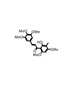 COc1cc(OC)c(C(=O)C=Cc2cc(OC)c(OC)c(OC)c2)c(O)c1C